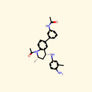 CC(=O)Nc1cccc(-c2ccc3c(c2)[C@H](Nc2ccc(N)c(C)c2)C[C@H](C)N3C(C)=O)c1